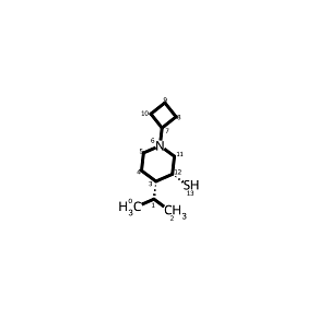 CC(C)[C@@H]1CCN(C2CCC2)C[C@@H]1S